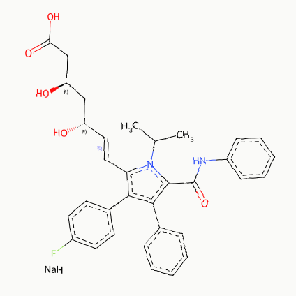 CC(C)n1c(/C=C/[C@H](O)C[C@@H](O)CC(=O)O)c(-c2ccc(F)cc2)c(-c2ccccc2)c1C(=O)Nc1ccccc1.[NaH]